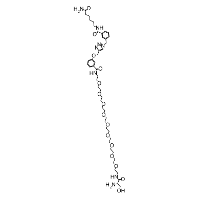 NC(=O)CCCCCNC(=O)c1cccc(Cn2cc(COc3cccc(C(=O)NCCOCCOCCOCCOCCOCCOCCOCCOCCOCCNC(=O)C(N)CO)c3)nn2)c1